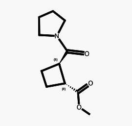 COC(=O)[C@@H]1CC[C@H]1C(=O)N1CCCC1